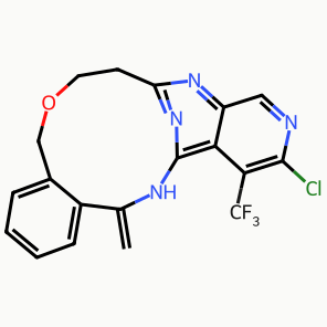 C=C1Nc2nc(nc3cnc(Cl)c(C(F)(F)F)c23)CCOCc2ccccc21